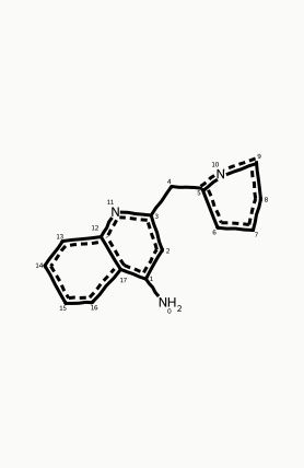 Nc1cc(Cc2ccccn2)nc2ccccc12